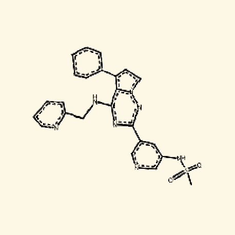 CS(=O)(=O)Nc1cncc(-c2nc(NCc3ccccn3)c3c(-c4ccccc4)ccn3n2)c1